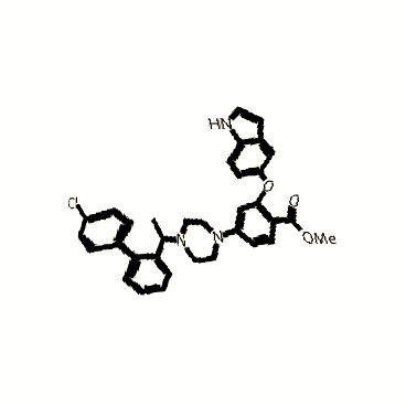 COC(=O)c1ccc(N2CCN(C(C)c3ccccc3-c3ccc(Cl)cc3)CC2)cc1Oc1ccc2[nH]ccc2c1